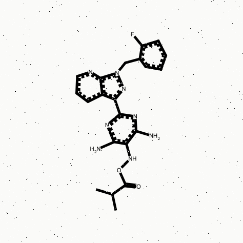 CC(C)C(=O)ONc1c(N)nc(-c2nn(Cc3ccccc3F)c3ncccc23)nc1N